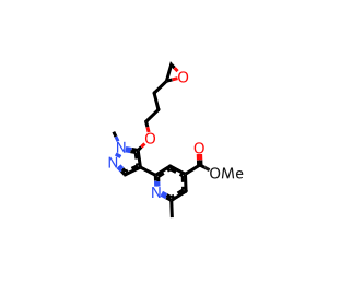 COC(=O)c1cc(C)nc(-c2cnn(C)c2OCCCC2CO2)c1